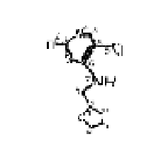 Clc1ncc(Cl)c(NC[C@H]2CCCO2)n1